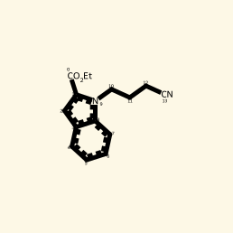 CCOC(=O)c1cc2ccccc2n1CCCC#N